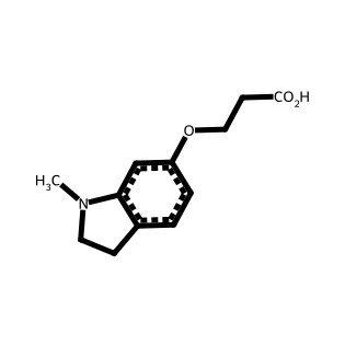 CN1CCc2ccc(OCCC(=O)O)cc21